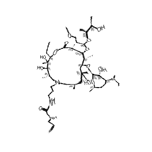 C=CCNC(=O)NCCCN1C[C@H](C)C[C@@](C)(O)[C@H](O[C@@H]2O[C@H](C)C[C@H](N(C)C)[C@H]2O)[C@@H](C)[C@H](O[C@@H](CCOC)O[C@@H](C)[C@@H](C)O)[C@@H](C)C(=O)O[C@H](CC)[C@@](C)(O)[C@H](O)[C@H]1C